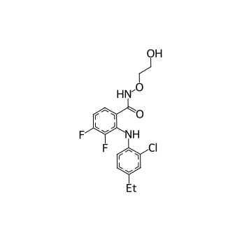 CCc1ccc(Nc2c(C(=O)NOCCO)ccc(F)c2F)c(Cl)c1